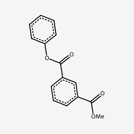 COC(=O)c1cccc(C(=O)Oc2ccccc2)c1